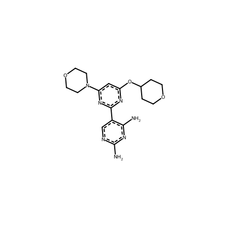 Nc1ncc(-c2nc(OC3CCOCC3)cc(N3CCOCC3)n2)c(N)n1